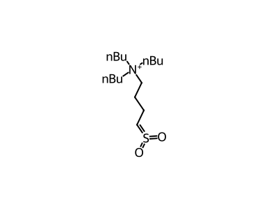 CCCC[N+](CCCC)(CCCC)CCCC=S(=O)=O